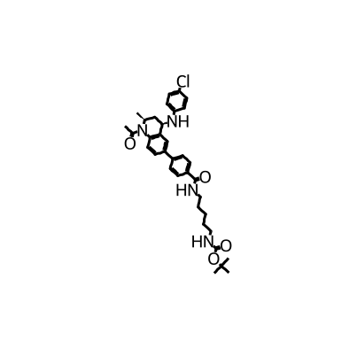 CC(=O)N1c2ccc(-c3ccc(C(=O)NCCCCCNC(=O)OC(C)(C)C)cc3)cc2[C@H](Nc2ccc(Cl)cc2)C[C@@H]1C